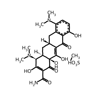 CN(C)c1ccc(O)c2c1C[C@H]1C[C@@H]3[C@H](N(C)C)C(O)=C(C(N)=O)C(=O)[C@@]3(O)C(O)=C1C2=O.CS(=O)(=O)O